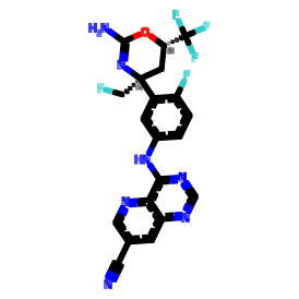 N#Cc1cnc2c(Nc3ccc(F)c([C@]4(CF)C[C@@H](C(F)(F)F)OC(N)=N4)c3)ncnc2c1